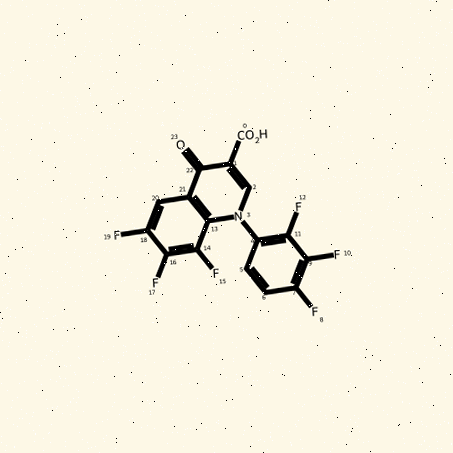 O=C(O)c1cn(-c2ccc(F)c(F)c2F)c2c(F)c(F)c(F)cc2c1=O